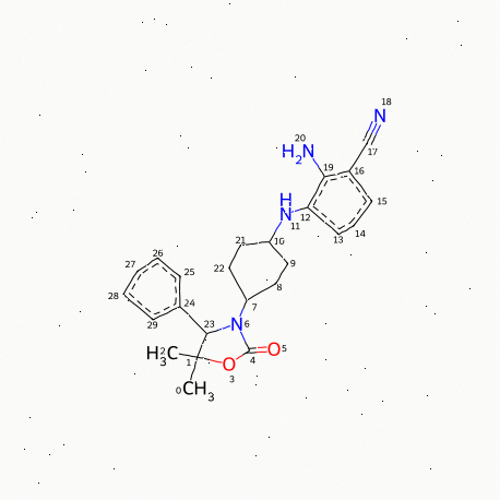 CC1(C)OC(=O)N(C2CCC(Nc3cccc(C#N)c3N)CC2)C1c1ccccc1